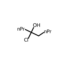 CCCCC(O)(Cl)CCC